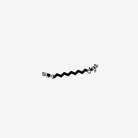 [Br][Mg][CH2]CCCCCCCCC[O][Mg][Br]